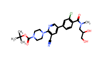 CN(CC(O)CO)C(=O)c1ccc(-c2cnc(N3CCN(C(=O)OC(C)(C)C)CC3)c(C#N)c2)cc1Cl